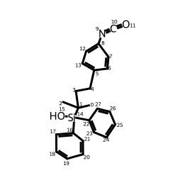 CC(C)(CCc1ccc(N=C=O)cc1)[Si](O)(c1ccccc1)c1ccccc1